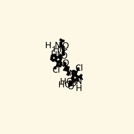 C=C(N1C[C@@H](CCl)c2c1cc(OP(=O)(O)O)c1[nH]cc(C)c21)C12CC(C(=O)N3C[C@@H](CCl)c4c3cc(NC(=O)[C@H](C)NC(=O)[C@@H](N)C(C)C)c3ccccc43)(C1)C2